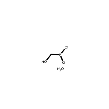 O.OCP(Cl)Cl